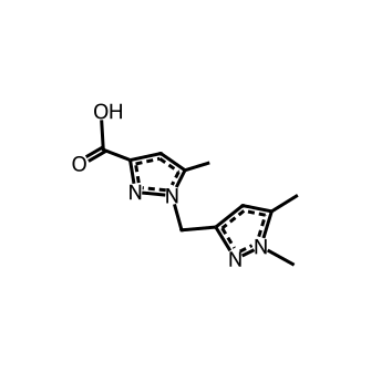 Cc1cc(Cn2nc(C(=O)O)cc2C)nn1C